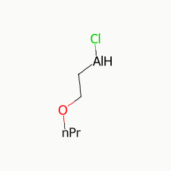 CCCOC[CH2][AlH][Cl]